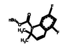 CCCCOC(=O)N1c2cc(F)cc(F)c2C=CC1(C)C